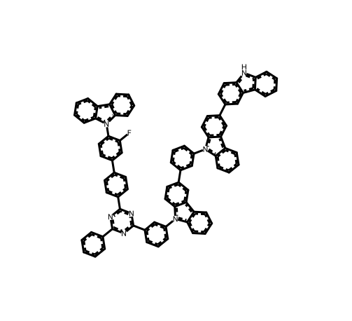 Fc1cc(-c2ccc(-c3nc(-c4ccccc4)nc(-c4cccc(-n5c6ccccc6c6cc(-c7cccc(-n8c9ccccc9c9cc(-c%10ccc%11[nH]c%12ccccc%12c%11c%10)ccc98)c7)ccc65)c4)n3)cc2)ccc1-n1c2ccccc2c2ccccc21